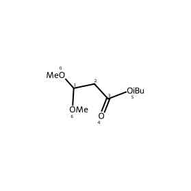 COC(CC(=O)OCC(C)C)OC